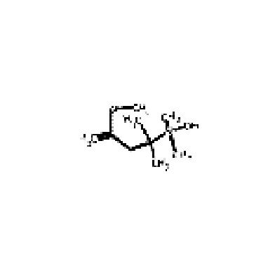 C=C(CC(C)(C)[Si](C)(C)O)OC